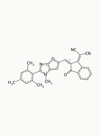 Cc1cc(C)c(-c2nc3oc(/C=C4\C(=O)c5ccccc5C4=C(C#N)C#N)cc3n2C)c(C)c1